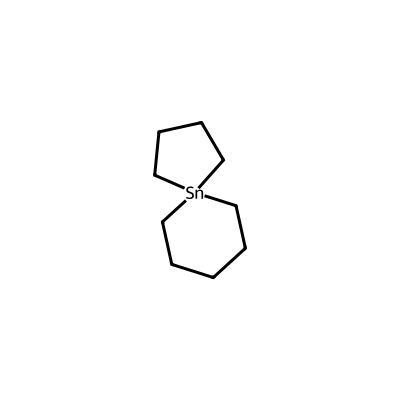 C1C[CH2][Sn]2([CH2]C1)[CH2]CC[CH2]2